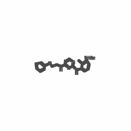 CC(=O)Nc1cccc(Nc2ncnc(NCCOc3ccccc3)n2)c1C